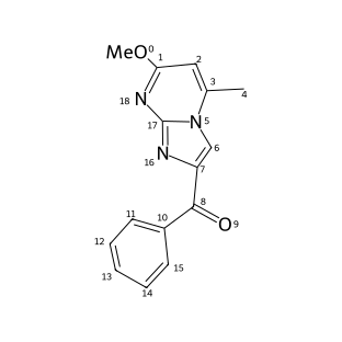 COc1cc(C)n2cc(C(=O)c3ccccc3)nc2n1